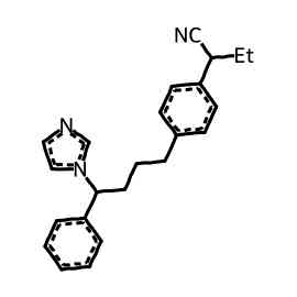 CCC(C#N)c1ccc(CCCC(c2ccccc2)n2ccnc2)cc1